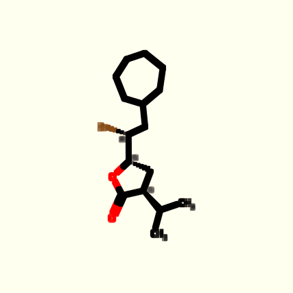 CC(C)[C@@H]1C[C@@H]([C@H](Br)CC2CCCCCC2)OC1=O